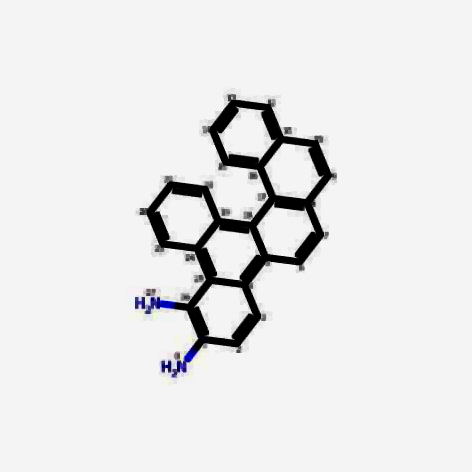 Nc1ccc2c3ccc4ccc5ccccc5c4c3c3ccccc3c2c1N